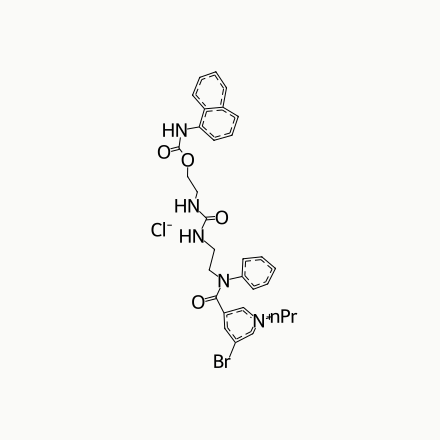 CCC[n+]1cc(Br)cc(C(=O)N(CCNC(=O)NCCOC(=O)Nc2cccc3ccccc23)c2ccccc2)c1.[Cl-]